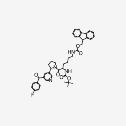 CC(C)(C)OC(=O)NC(CCCCNC(=O)OCC1c2ccccc2-c2ccccc21)C(=O)N1CCCC1c1cncc(C(=O)c2ccc(F)cc2)c1